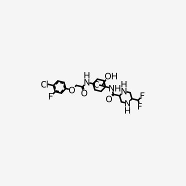 O=C(COc1ccc(Cl)c(F)c1)NC12CCC(NC(=O)C3CNC(C(F)F)CN3)(CC1)C(O)C2